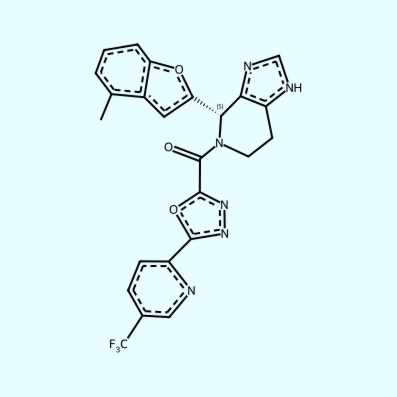 Cc1cccc2oc([C@@H]3c4nc[nH]c4CCN3C(=O)c3nnc(-c4ccc(C(F)(F)F)cn4)o3)cc12